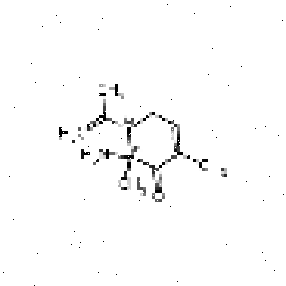 C=C(C)[C@@H]1CC=C(C)C(=O)[C@]1(C)N